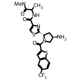 CNC(=O)C(C)NC(=O)c1csc([C@@H]2C[C@@H](N)CN2C(=O)c2cc3cc(C(F)(F)F)ccc3s2)n1